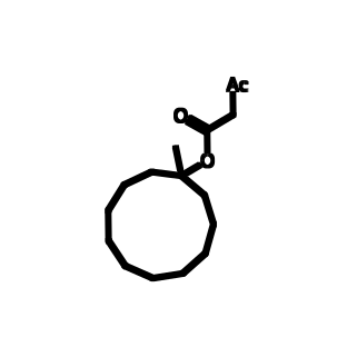 CC(=O)CC(=O)OC1(C)CCCCCCCCCC1